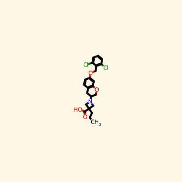 CCCC1(C(=O)O)CN(C2COc3cc(OCc4c(Cl)cccc4Cl)ccc3C2)C1